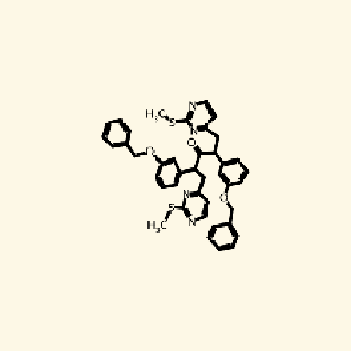 CSc1nccc(CC(C(=O)C(Cc2ccnc(SC)n2)c2cccc(OCc3ccccc3)c2)c2cccc(OCc3ccccc3)c2)n1